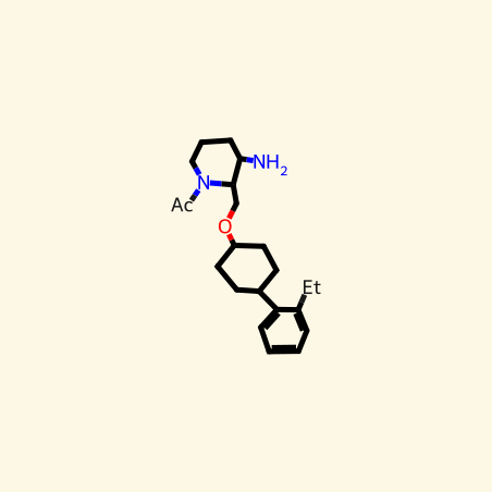 CCc1ccccc1C1CCC(OCC2C(N)CCCN2C(C)=O)CC1